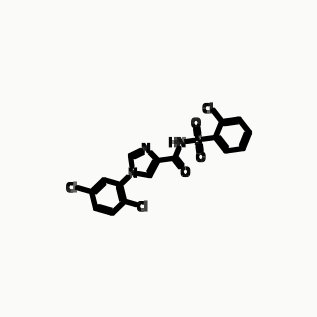 O=C(NS(=O)(=O)c1ccccc1Cl)c1cn(-c2cc(Cl)ccc2Cl)cn1